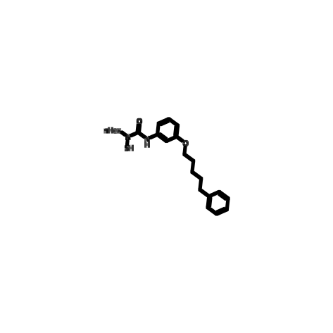 CCCCCCN(S)C(=O)Nc1cccc(OCCCCCc2ccccc2)c1